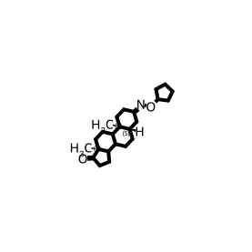 C[C@]12CCC3C(CC[C@H]4CC(=NOC5CCCC5)CC[C@]34C)C1CCC2=O